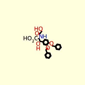 O=C(CO)N[C@H](C(=O)O)C(O)c1ccc(OCc2ccccc2)c(OCc2ccccc2)c1